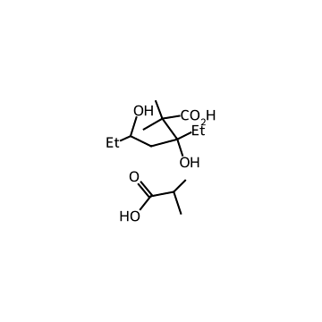 CC(C)C(=O)O.CCC(O)CC(O)(CC)C(C)(C)C(=O)O